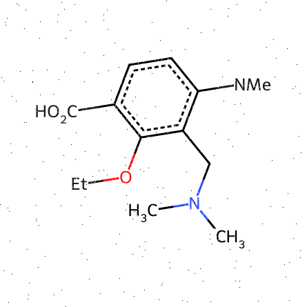 CCOc1c(C(=O)O)ccc(NC)c1CN(C)C